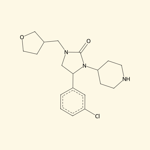 O=C1N(CC2CCOC2)CC(c2cccc(Cl)c2)N1C1CCNCC1